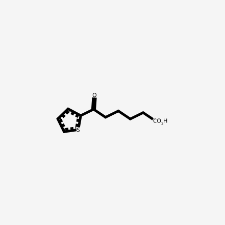 O=C(O)CCCCC(=O)c1cccs1